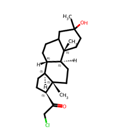 CC1(O)CC[C@@]2(C)C(CC[C@H]3[C@@H]4CC[C@H](C(=O)CCl)[C@@]4(C)CC[C@@H]32)C1